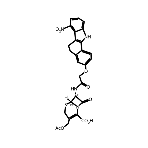 CC(=O)OCC1=C(C(=O)O)N2C(=O)[C@@H](NC(=O)COc3ccc4c(c3)CCc3c-4[nH]c4cccc([N+](=O)[O-])c34)[C@H]2SC1